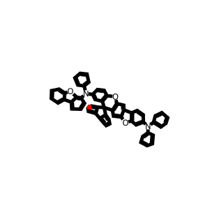 c1ccc(N(c2ccccc2)c2ccc3c(c2)oc2cc4c(cc23)Oc2ccc(N(c3ccccc3)c3cccc5c3oc3ccccc35)cc2C42c3ccccc3-c3ccccc32)cc1